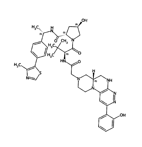 Cc1ncsc1-c1ccc([C@H](C)NC(=O)[C@@H]2C[C@@H](O)CN2C(=O)[C@@H](NC(=O)CN2CCN3c4cc(-c5ccccc5O)nnc4NC[C@H]3C2)C(C)(C)C)cc1